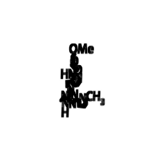 COCCOCC(=O)Nc1nccc2c1ccn2-c1nc(-c2cccc(C)n2)nc2[nH]cnc12